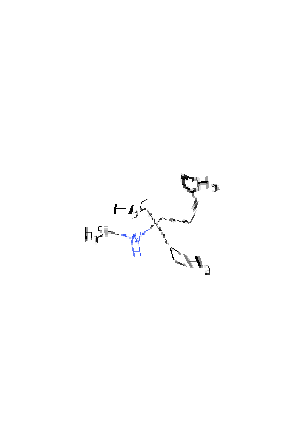 CCC(C)(C)N[SiH3]